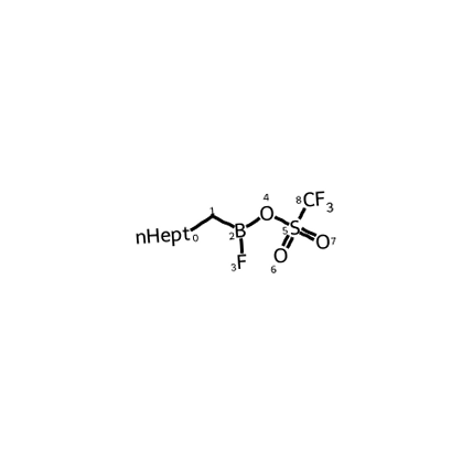 CCCCCCCCB(F)OS(=O)(=O)C(F)(F)F